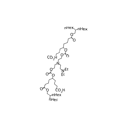 CCCCCCC(CCCCCC)COC(=O)CCCC(CCCC(=O)O)OC(=O)OCCN(CCOC(=O)OC(CCCC(=O)O)CCCC(=O)OCC(CCCCCC)CCCCCC)CCN(CC)CC